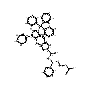 O=C(N[C@H](CNCC(F)F)c1ccccc1)c1nc2cc3c(-c4ccncc4)nn(C(c4ccccc4)(c4ccccc4)c4ccccc4)c3cc2[nH]1